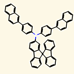 c1ccc2c(c1)-c1ccccc1C21c2ccccc2-c2ccc(N(c3ccc(-c4ccc5ccccc5c4)cc3)c3ccc(-c4ccc5ccccc5c4)cc3)cc21